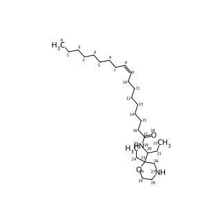 CCCCCCCC/C=C\CCCCCCCC(=O)NC(CC)C1(CC)CNCCO1